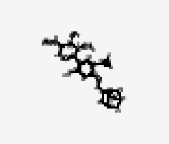 COC(=O)[C@H](C(C)C)N(C)C(=O)c1cc(C2CC2)c(OCC23CC4CC(CC2C4)C3)cc1F